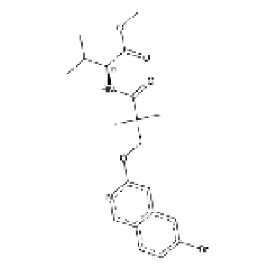 COC(=O)[C@@H](NC(=O)C(C)(C)COc1cc2cc(Br)ccc2cn1)C(C)C